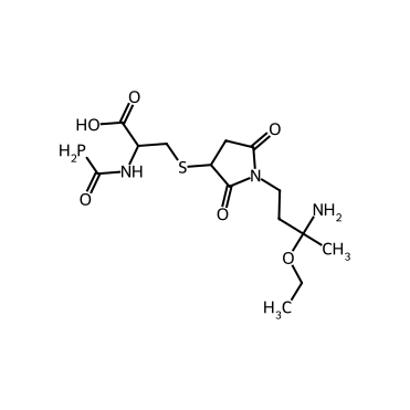 CCOC(C)(N)CCN1C(=O)CC(SCC(NC(=O)P)C(=O)O)C1=O